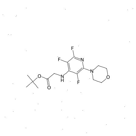 CC(C)(C)OC(=O)CNc1c(F)c(F)nc(N2CCOCC2)c1F